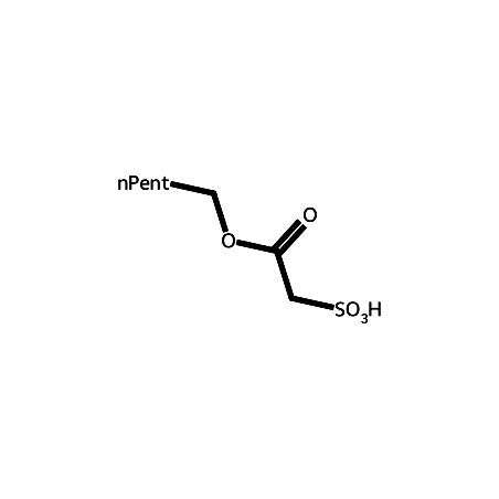 CCCCCCOC(=O)CS(=O)(=O)O